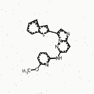 COc1cccc(Nc2ccc3ncc(-c4cc5ccccc5s4)n3n2)n1